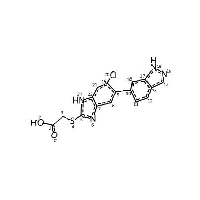 O=C(O)CSc1nc2cc(-c3ccc4cn[nH]c4c3)c(Cl)cc2[nH]1